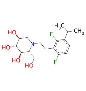 CC(C)c1ccc(F)c(CCN2C[C@H](O)[C@@H](O)[C@H](O)[C@H]2CO)c1F